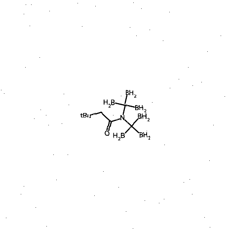 BC(B)(B)N(C(=O)CC(C)(C)C)C(B)(B)B